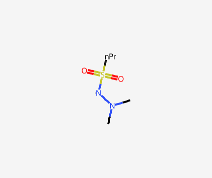 CCCS(=O)(=O)[N]N(C)C